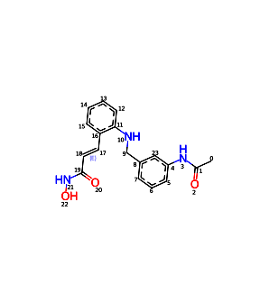 CC(=O)Nc1cccc(CNc2ccccc2/C=C/C(=O)NO)c1